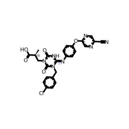 C[C@@H](Cn1c(=O)[nH]/c(=N\c2ccc(Oc3cnc(C#N)cn3)cc2)n(Cc2ccc(Cl)cc2)c1=O)C(=O)O